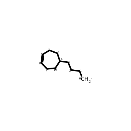 [CH2]CCCC1CCC=CCC1